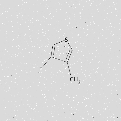 [CH2]c1cscc1F